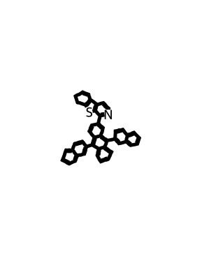 C1=Cc2c(sc3c(-c4ccc5c(-c6ccc7ccccc7c6)c6ccccc6c(-c6ccc7ccccc7c6)c5c4)nccc23)CC1